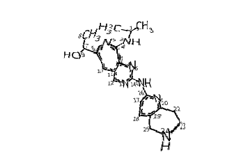 CC(C)Nc1nc(C(C)O)cc2cnc(Nc3ccc4c(n3)CCNC4)nc12